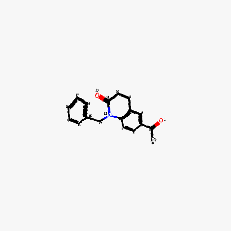 CCC(=O)c1ccc2c(c1)CCC(=O)N2Cc1ccccc1